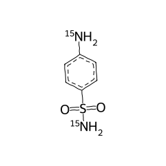 [15NH2]c1ccc(S([15NH2])(=O)=O)cc1